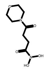 O=C(CCC(=O)N1CCOCC1)N(O)O